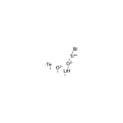 [Bi].[LiH].[O-2].[O-2].[Te].[Ti+4]